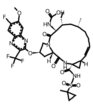 CC[C@@H]1C[C@H](C)CCC=C[C@@H]2C[C@@]2(C(=O)NS(=O)(=O)C2(C)CC2)NC(=O)[C@@H]2C[C@@H](Oc3nc4cc(OC)c(F)cc4nc3C(F)(F)F)CN2C(=O)[C@H]1NC(=O)O